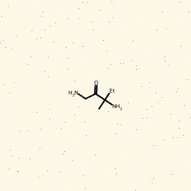 CCC(C)(N)C(=O)CN